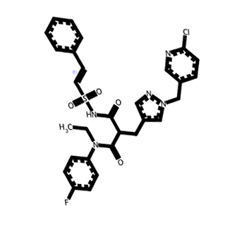 CCN(C(=O)C(Cc1cnn(Cc2ccc(Cl)nc2)c1)C(=O)NS(=O)(=O)/C=C/c1ccccc1)c1ccc(F)cc1